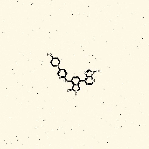 Cn1cnc2c(-c3ccc(Nc4ccc(N5CCC(O)CC5)cn4)c4c3CNC4=O)ccnc21